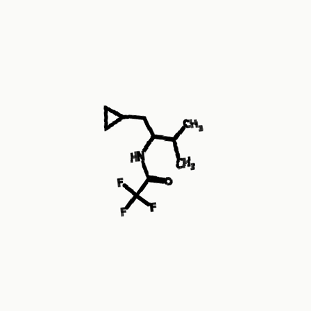 CC(C)C(CC1CC1)NC(=O)C(F)(F)F